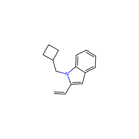 C=Cc1cc2ccccc2n1CC1CCC1